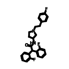 O=C(NC1CCN(CCc2ccc(F)cc2)C1)C(c1ccccc1F)c1ccccc1F